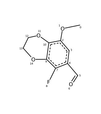 COc1cc(C=O)c(F)c2c1OCCO2